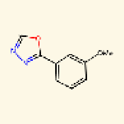 COc1cccc(-c2nn[c]o2)c1